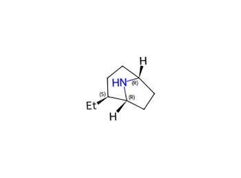 CC[C@H]1CC[C@@H]2CC[C@H]1N2